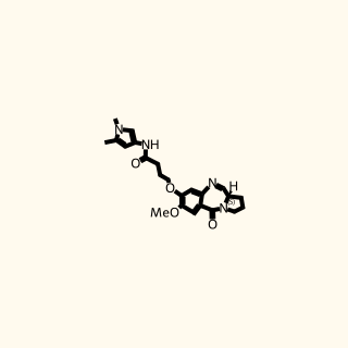 COc1cc2c(cc1OCCCC(=O)Nc1cc(C)n(C)c1)N=C[C@@H]1CCCN1C2=O